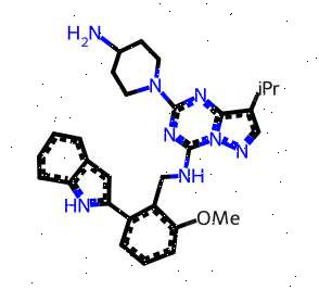 COc1cccc(-c2cc3ccccc3[nH]2)c1CNc1nc(N2CCC(N)CC2)nc2c(C(C)C)cnn12